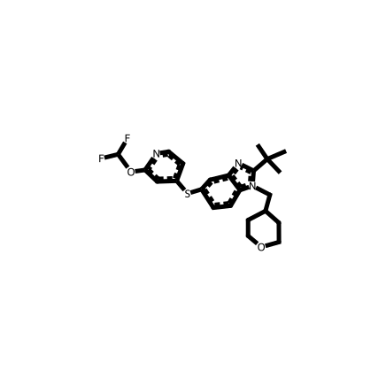 CC(C)(C)c1nc2cc(Sc3ccnc(OC(F)F)c3)ccc2n1CC1CCOCC1